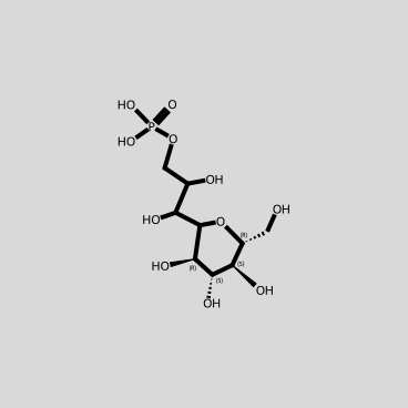 O=P(O)(O)OCC(O)C(O)C1O[C@H](CO)[C@@H](O)[C@H](O)[C@H]1O